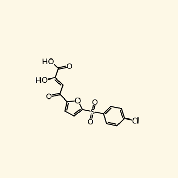 O=C(O)C(O)=CC(=O)c1ccc(S(=O)(=O)c2ccc(Cl)cc2)o1